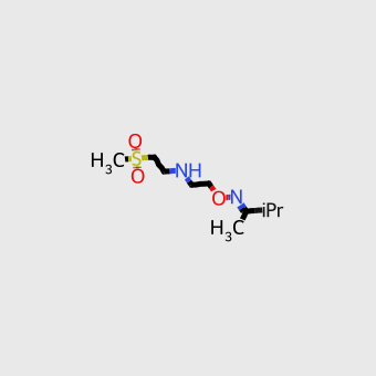 C/C(=N\OCCNCCS(C)(=O)=O)C(C)C